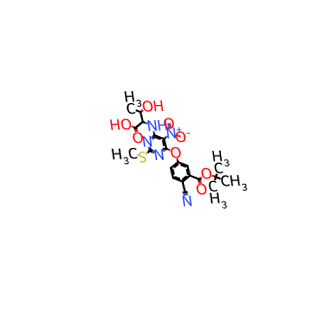 CSc1nc(NC(C(=O)O)C(C)O)c([N+](=O)[O-])c(Oc2ccc(C#N)c(C(=O)OC(C)(C)C)c2)n1